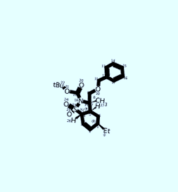 CC[C@H]1C=C[C@H]2[C@H](C1)[C@](C)(COCc1ccccc1)N(C(=O)OC(C)(C)C)S2(=O)=O